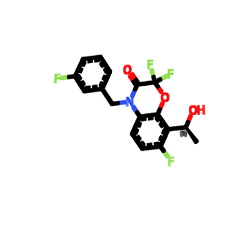 C[C@H](O)c1c(F)ccc2c1OC(F)(F)C(=O)N2Cc1cccc(F)c1